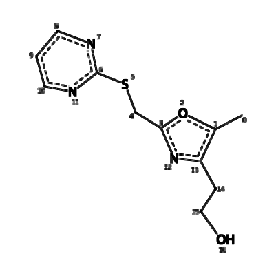 Cc1oc(CSc2ncccn2)nc1CCO